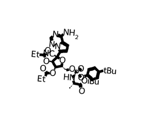 CCC(=O)O[C@H]1[C@@H](OC(=O)CC)[C@](C#N)(c2ccc3c(N)ncnn23)O[C@@H]1COP(=O)(N[C@@H](C)C(=O)OCC(C)C)Oc1ccc(C(C)(C)C)cc1